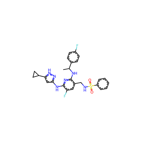 CC(Nc1nc(Nc2cc(C3CC3)[nH]n2)c(F)cc1CNS(=O)(=O)c1ccccc1)c1ccc(F)cc1